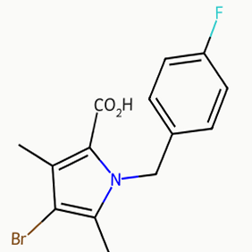 Cc1c(Br)c(C)n(Cc2ccc(F)cc2)c1C(=O)O